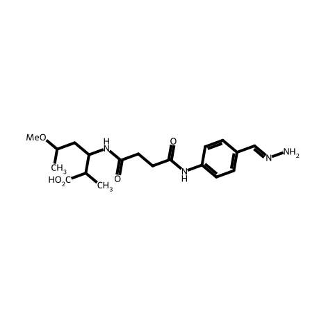 COC(C)CC(NC(=O)CCC(=O)Nc1ccc(C=NN)cc1)C(C)C(=O)O